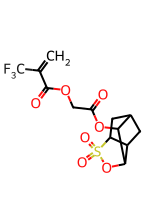 C=C(C(=O)OCC(=O)OC1C2CC3C1OS(=O)(=O)C3C2)C(F)(F)F